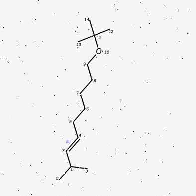 CC(C)/C=C/CCCCCOC(C)(C)C